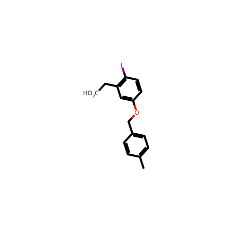 Cc1ccc(COc2ccc(I)c(CC(=O)O)c2)cc1